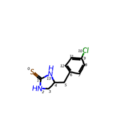 S=C1NCC(Cc2ccc(Cl)cc2)N1